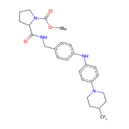 CC(C)(C)OC(=O)N1CCCC1C(=O)NCc1ccc(Nc2ccc(N3CCC(C(F)(F)F)CC3)cc2)cc1